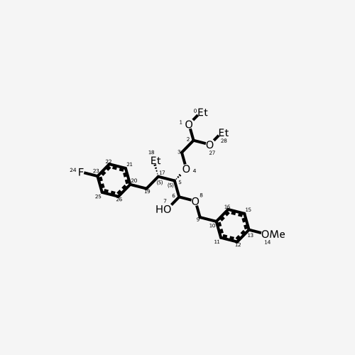 CCOC(CO[C@H](C(O)OCc1ccc(OC)cc1)[C@@H](CC)Cc1ccc(F)cc1)OCC